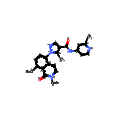 COc1ccc(-n2ncc(C(=O)Nc3ccnc(C(F)(F)F)c3)c2C(F)(F)F)c2ccn(OC)c(=O)c12